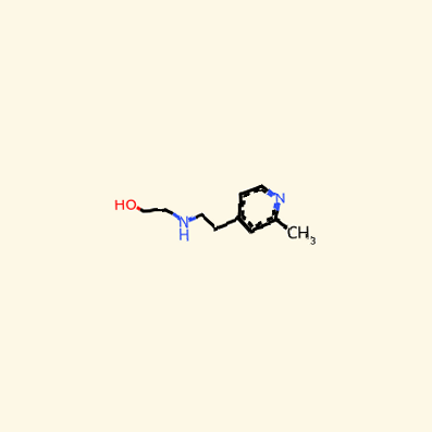 Cc1cc(CCNCCO)ccn1